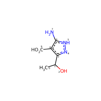 CC(O)c1n[nH]c(N)c1C(=O)O